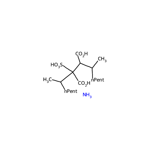 CCCCCC(C)C(C(=O)O)C(C(=O)O)(C(C)CCCCC)S(=O)(=O)O.N